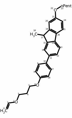 C=COCCCOc1ccc(-c2ccc3c(c2)C(C)c2cc(OCCCCC)ccc2-3)cc1